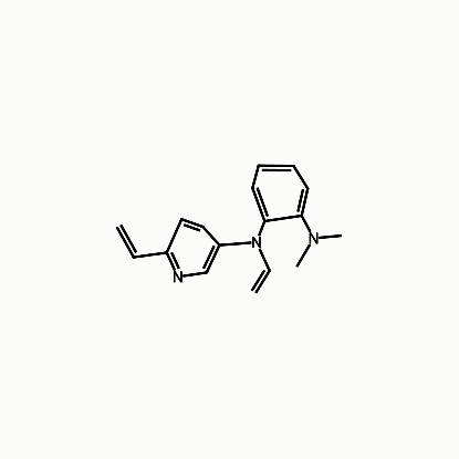 C=Cc1ccc(N(C=C)c2ccccc2N(C)C)cn1